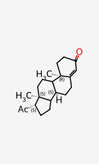 CC(=O)[C@H]1CCC2[C@@H]3CCC4=CC(=O)CC[C@]4(C)C3CC[C@@]21C